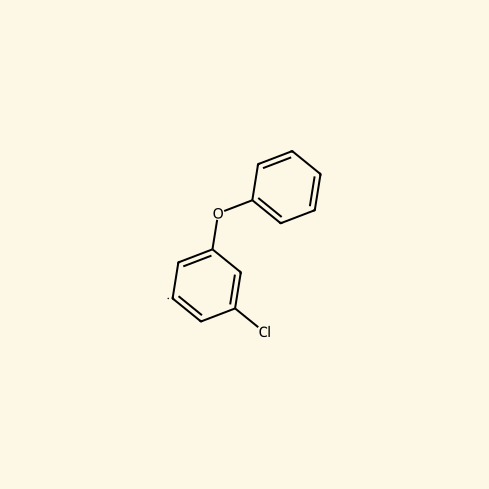 Clc1c[c]cc(Oc2ccccc2)c1